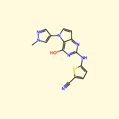 Cn1cc(-n2ccc3nc(Nc4ccc(C#N)s4)nc(O)c32)cn1